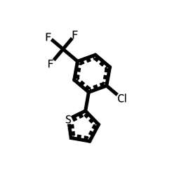 FC(F)(F)c1ccc(Cl)c(-c2cccs2)c1